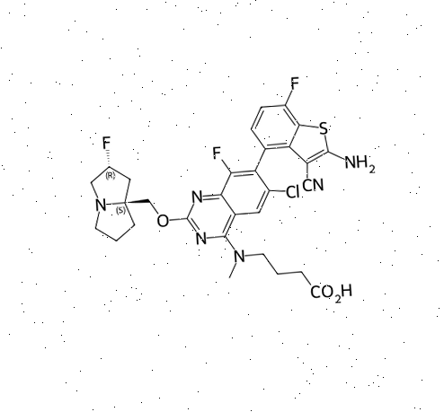 CN(CCCC(=O)O)c1nc(OC[C@@]23CCCN2C[C@H](F)C3)nc2c(F)c(-c3ccc(F)c4sc(N)c(C#N)c34)c(Cl)cc12